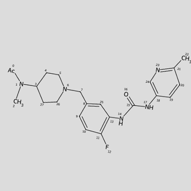 CC(=O)N(C)C1CCN(Cc2ccc(F)c(NC(=O)Nc3ccc(C)nc3)c2)CC1